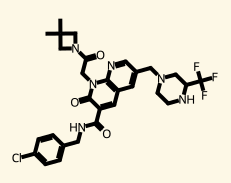 CC1(C)CN(C(=O)Cn2c(=O)c(C(=O)NCc3ccc(Cl)cc3)cc3cc(CN4CCNC(C(F)(F)F)C4)cnc32)C1